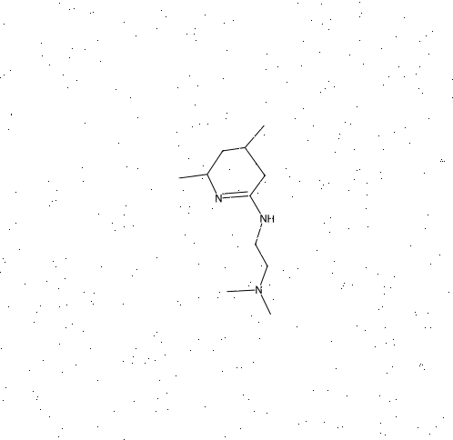 CC1CC(NCCN(C)C)=NC(C)C1